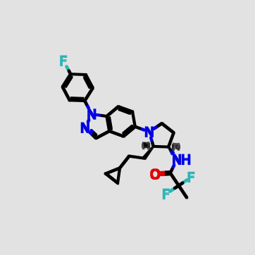 CC(F)(F)C(=O)N[C@@H]1CCN(c2ccc3c(cnn3-c3ccc(F)cc3)c2)[C@@H]1CCC1CC1